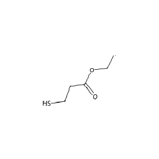 [CH2]COC(=O)CCS